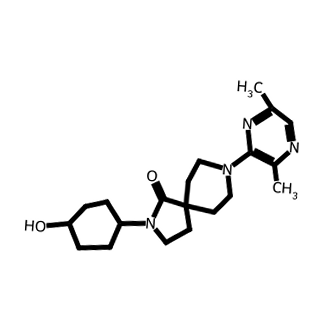 Cc1cnc(C)c(N2CCC3(CC2)CCN(C2CCC(O)CC2)C3=O)n1